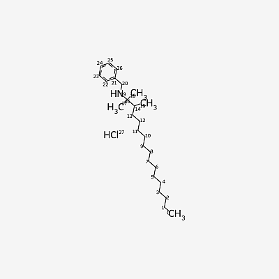 CCCCCCCCCCCCCCC(C)C(C)(C)NCc1ccccc1.Cl